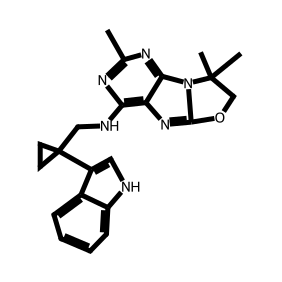 Cc1nc(NCC2(c3c[nH]c4ccccc34)CC2)c2nc3n(c2n1)C(C)(C)CO3